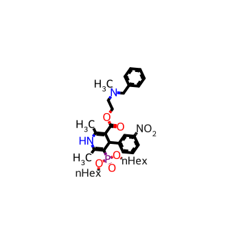 CCCCCCOP(=O)(OCCCCCC)C1=C(C)NC(C)=C(C(=O)OCCN(C)Cc2ccccc2)C1c1cccc([N+](=O)[O-])c1